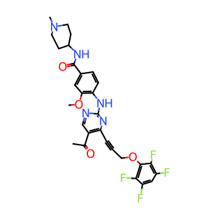 COc1cc(C(=O)NC2CCN(C)CC2)ccc1Nc1ncc(C(C)=O)c(C#CCOc2c(F)c(F)cc(F)c2F)n1